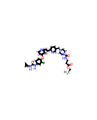 CCOC(=O)CCNC(=O)N1CCN(Cc2ccc(-c3cc4nccc(Oc5ccc(NC(=O)NC6CC6)cc5F)c4s3)nc2)CC1